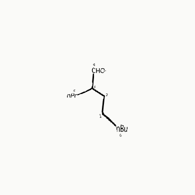 CCCCCCC([C]=O)CCC